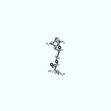 NC(=O)CN1CCN(CC(N)=O)CCN(CC(N)=O)C(Cc2ccc(NC(=S)CCCCCC(=O)NCc3ccc(C(=O)N(CCCCC(NC(=O)NCC(=O)O)C(=O)O)Cc4nccc5ccccc45)cc3)cc2)CN(CC(N)=O)CC1